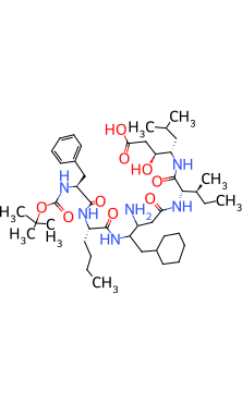 CCCC[C@H](NC(=O)[C@H](Cc1ccccc1)NC(=O)OC(C)(C)C)C(=O)NC(CC1CCCCC1)C(N)CC(=O)N[C@H](C(=O)N[C@@H](CC(C)C)[C@@H](O)CC(=O)O)[C@@H](C)CC